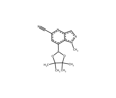 Cn1ncc2nc(C#N)cc(B3OC(C)(C)C(C)(C)O3)c21